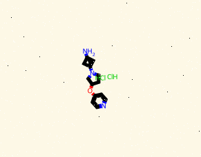 Cl.Cl.NC12CC(N3CCC(Oc4ccncc4)C3)(C1)C2